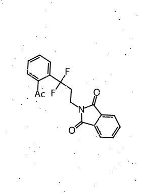 CC(=O)c1ccccc1C(F)(F)CCN1C(=O)c2ccccc2C1=O